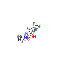 CCCCC1Cn2cc(C(=O)NCc3c(F)cc(F)cc3F)c(=O)c(O)c2C(=O)N1C